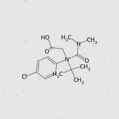 CN(C)C(=O)[N+](CC(=O)O)(c1ccc(Cl)cc1)C(C)(C)C